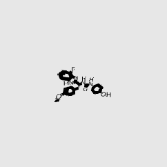 COc1ccc(C[C@@H](NC(=O)N[C@H]2CC[C@H](O)CC2)c2nc3c(F)cccc3[nH]2)cc1